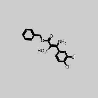 N/C(=C(/C(=O)O)C(=O)OCc1ccccc1)c1ccc(Cl)c(Cl)c1